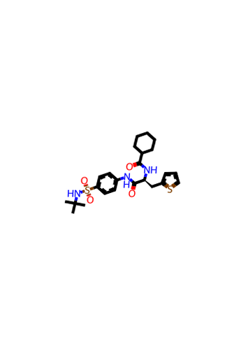 CC(C)(C)NS(=O)(=O)c1ccc(NC(=O)[C@H](Cc2cccs2)NC(=O)C2CCCCC2)cc1